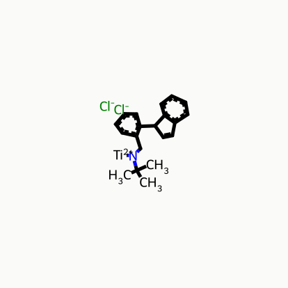 CC(C)(C)[N]([Ti+2])Cc1ccccc1C1C=Cc2ccccc21.[Cl-].[Cl-]